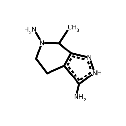 CC1c2n[nH]c(N)c2CCN1N